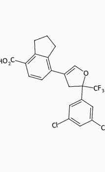 O=C(O)c1ccc(C2=COC(c3cc(Cl)cc(Cl)c3)(C(F)(F)F)C2)c2c1CCC2